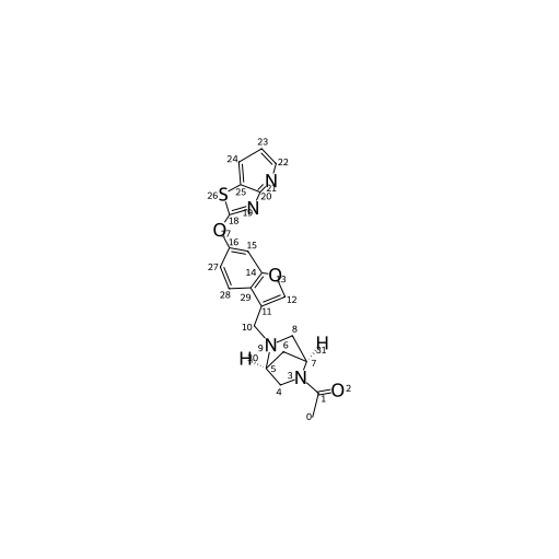 CC(=O)N1C[C@@H]2C[C@H]1CN2Cc1coc2cc(Oc3nc4ncccc4s3)ccc12